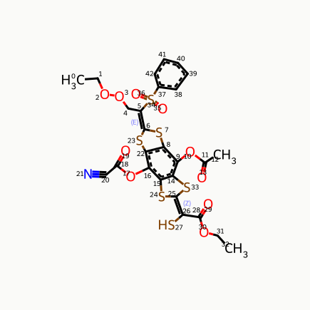 CCOOC/C(=C1/Sc2c(OC(C)=O)c3c(c(OC(=O)C#N)c2S1)S/C(=C(\S)C(=O)OCC)S3)S(=O)(=O)c1ccccc1